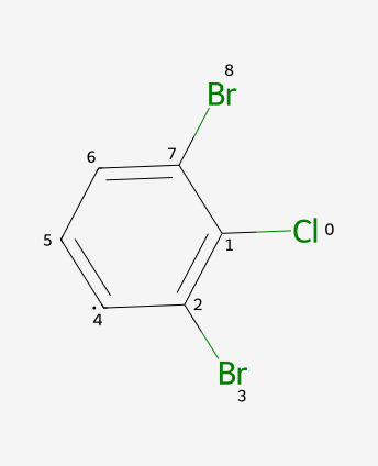 Clc1c(Br)[c]ccc1Br